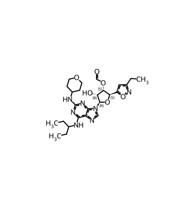 CCc1cc([C@H]2O[C@@H](n3cnc4c(NC(CC)CC)nc(NC5CCOCC5)nc43)[C@H](O)[C@@H]2OC=O)on1